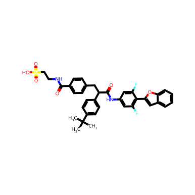 CC(C)(C)c1ccc(C(Cc2ccc(C(=O)NCCS(=O)(=O)O)cc2)C(=O)Nc2cc(F)c(-c3cc4ccccc4o3)c(F)c2)cc1